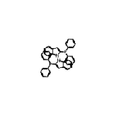 c1ccc(P(c2ccccc2)c2cc3ccccc3n2-n2c(P(c3ccccc3)c3ccccc3)cc3ccccc32)cc1